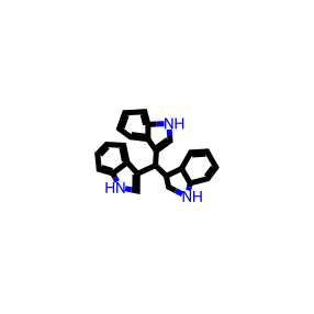 C1=CC2NCC(C(c3c[nH]c4ccccc34)c3c[nH]c4ccccc34)C2C=C1